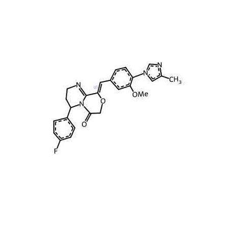 COc1cc(/C=C2\OCC(=O)N3C2=NCCC3c2ccc(F)cc2)ccc1-n1cnc(C)c1